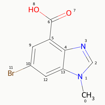 Cn1cnc2c(C(=O)O)cc(Br)cc21